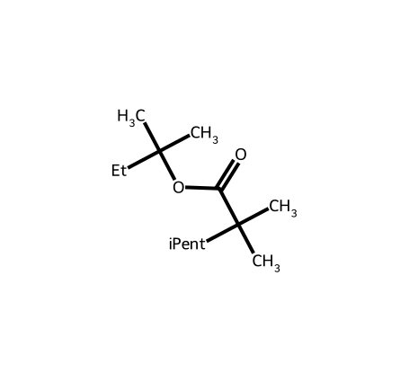 CCCC(C)C(C)(C)C(=O)OC(C)(C)CC